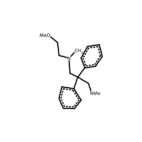 CNCC(CN(C)CCOC)(c1ccccc1)c1ccccc1